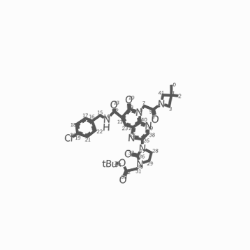 CC1(C)CN(C(=O)Cn2c(=O)c(C(=O)NCc3ccc(Cl)cc3)cc3nc(N4CCN(CC(=O)OC(C)(C)C)C4=O)cnc32)C1